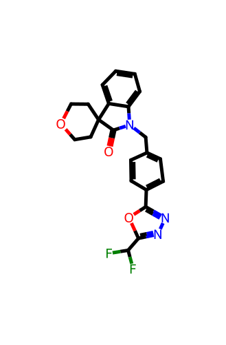 O=C1N(Cc2ccc(-c3nnc(C(F)F)o3)cc2)c2ccccc2C12CCOCC2